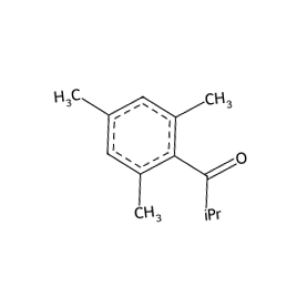 Cc1cc(C)c(C(=O)C(C)C)c(C)c1